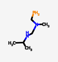 CC(C)NCN(C)CP